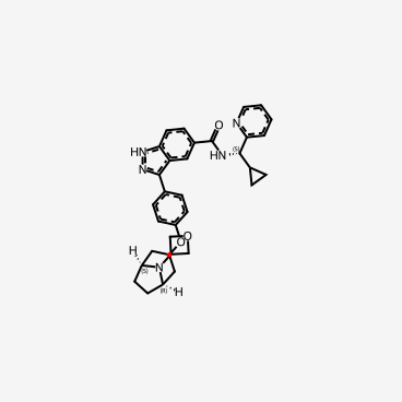 O=C(N[C@H](c1ccccn1)C1CC1)c1ccc2[nH]nc(-c3ccc(OC4C[C@H]5CC[C@@H](C4)N5C4COC4)cc3)c2c1